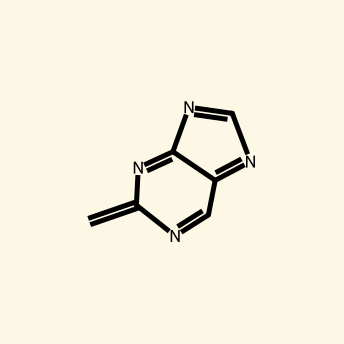 C=c1ncc2c(n1)N=CN=2